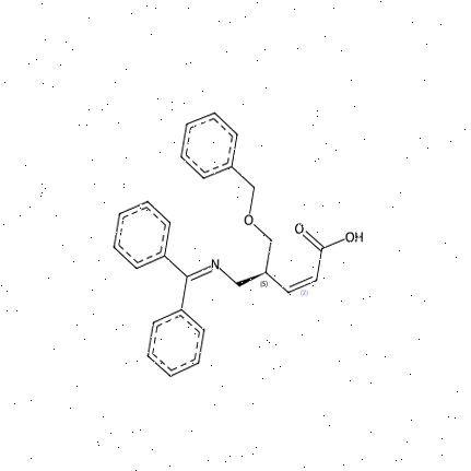 O=C(O)/C=C\[C@@H](CN=C(c1ccccc1)c1ccccc1)COCc1ccccc1